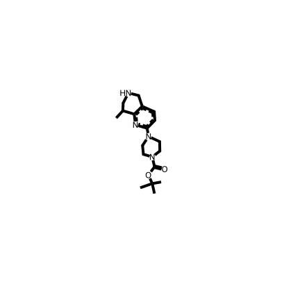 CC1CNCc2ccc(N3CCN(C(=O)OC(C)(C)C)CC3)nc21